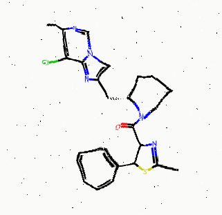 CC1=NC(C(=O)N2CCCC[C@H]2Cc2cn3cnc(C)c(Cl)c3n2)C(c2ccccc2)S1